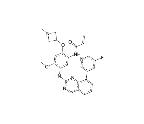 C=CC(=O)Nc1cc(Nc2ncc3cccc(-c4cncc(F)c4)c3n2)c(OC)cc1OC1CN(C)C1